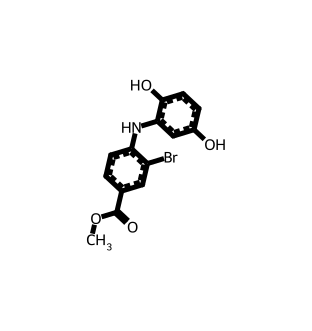 COC(=O)c1ccc(Nc2cc(O)ccc2O)c(Br)c1